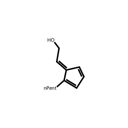 CCCCCC1=CC=CC1=CCO